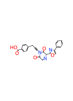 O=C(O)c1ccc(CC#CN2C(=O)C=NC(c3nc(-c4ccccc4)co3)C2=O)cc1